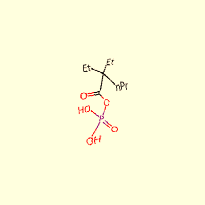 CCCC(CC)(CC)C(=O)OP(=O)(O)O